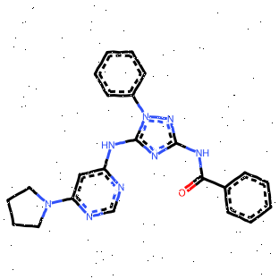 O=C(Nc1nc(Nc2cc(N3CCCC3)ncn2)n(-c2ccccc2)n1)c1ccccc1